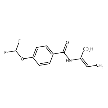 C/C=C(/NC(=O)c1ccc(OC(F)F)cc1)C(=O)O